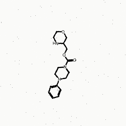 O=C(OCC1COCCN1)N1CCN(c2ccccc2)CC1